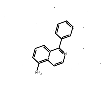 Nc1cccc2c(-c3cc[c]cc3)nccc12